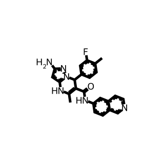 CC1=C(C(=O)Nc2ccc3cnccc3c2)C(c2ccc(C)c(F)c2)n2nc(N)cc2N1